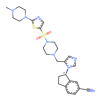 CN1CCN(c2ncc(S(=O)(=O)N3CCN(Cc4cncn4[C@@H]4CCc5ccc(C#N)cc54)CC3)s2)CC1